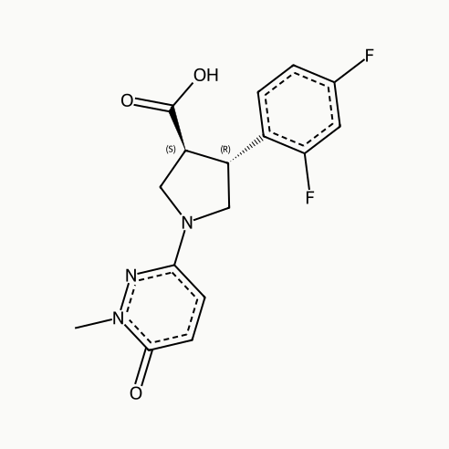 Cn1nc(N2C[C@@H](C(=O)O)[C@H](c3ccc(F)cc3F)C2)ccc1=O